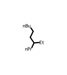 C[CH]CC(CC)CCCCCC